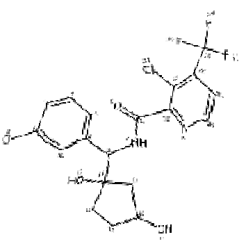 O=C(NC(c1cccc(Cl)c1)C1(O)CCC(O)C1)c1nccc(C(F)(F)F)c1Cl